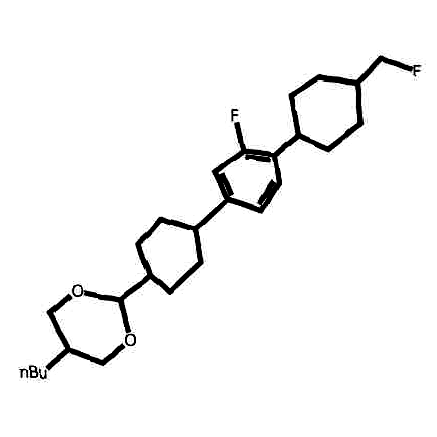 CCCCC1COC(C2CCC(c3ccc(C4CCC(CF)CC4)c(F)c3)CC2)OC1